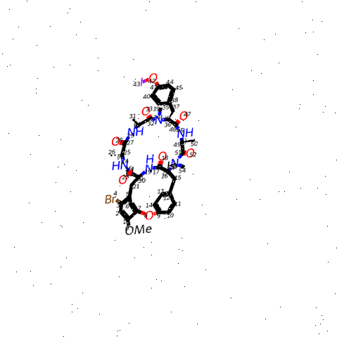 COc1cc(Br)c2cc1Oc1ccc(cc1)C[C@H]1C(=O)N[C@@H](C2)C(=O)N[C@H](C)C(=O)N[C@@H](C)C(=O)N(C)[C@@H](Cc2ccc(OI)cc2)C(=O)N[C@@H](C)C(=O)N1C